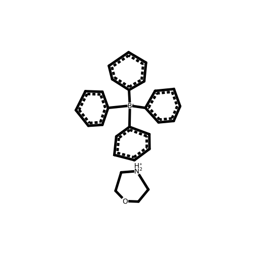 C1COCC[NH2+]1.c1ccc([B-](c2ccccc2)(c2ccccc2)c2ccccc2)cc1